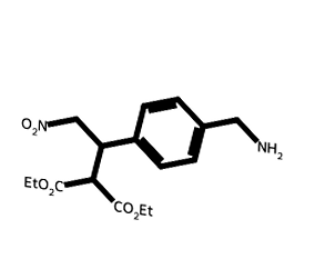 CCOC(=O)C(C(=O)OCC)C(C[N+](=O)[O-])c1ccc(CN)cc1